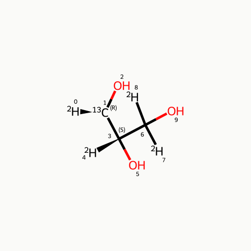 [2H][13C@@H](O)[C@@]([2H])(O)C([2H])([2H])O